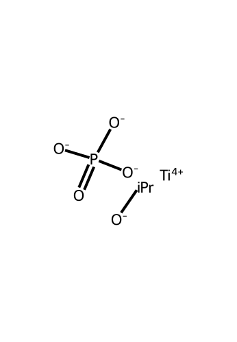 CC(C)[O-].O=P([O-])([O-])[O-].[Ti+4]